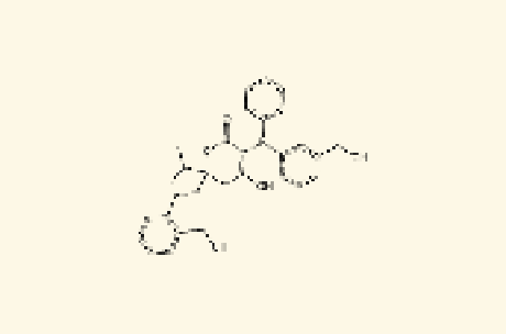 CC(C)C1(CCc2ccccc2CO)CC(O)=C(N(c2ccccc2)c2cccc(CO)c2)C(=O)O1